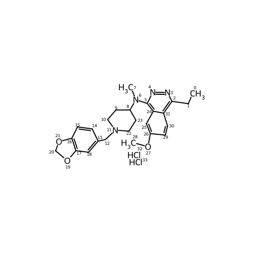 CCc1nnc(N(C)C2CCN(Cc3ccc4c(c3)OCO4)CC2)c2cc(OC)ccc12.Cl.Cl